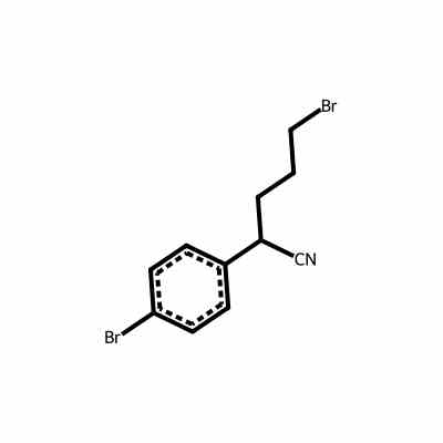 N#CC(CCCBr)c1ccc(Br)cc1